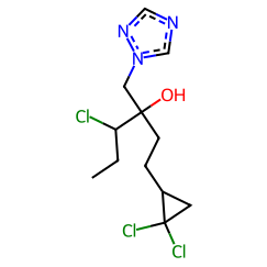 CCC(Cl)C(O)(CCC1CC1(Cl)Cl)Cn1cncn1